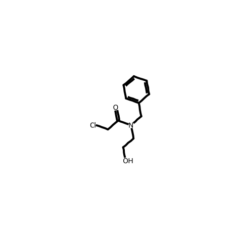 O=C(CCl)N(CCO)Cc1ccccc1